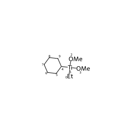 C[CH2][Ti]([O]C)([O]C)[CH]1CCCCC1